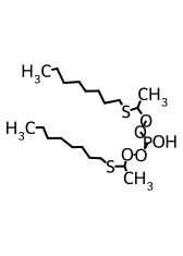 CCCCCCCCSC(C)OOP(O)OOC(C)SCCCCCCCC